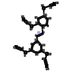 N#COc1cc(/C=C/c2ccc(OC#N)cc2OC#N)cc(OC#N)c1